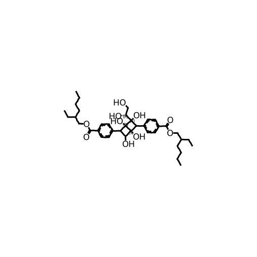 CCCCC(CC)COC(=O)c1ccc(C2C(O)[C@@]3(O)C(c4ccc(C(=O)OCC(CC)CCCC)cc4)[C@@](O)([C@H](O)CO)[C@@]23O)cc1